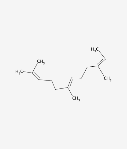 C/C=C(/C)CC/C=C(\C)CCC=C(C)C